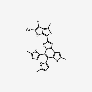 CC(=O)c1sc2c(-c3cc4c(s3)c(-c3ccc(C)s3)c(-c3ccc(C)s3)c3sc(C)cc34)sc(C)c2c1F